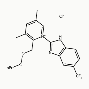 CCCSSCc1c(C)cc(C)c[n+]1-c1nc2cc(C(F)(F)F)ccc2[nH]1.[Cl-]